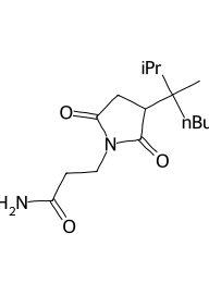 CCCCC(C)(C(C)C)C1CC(=O)N(CCC(N)=O)C1=O